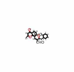 COc1ccccc1CC(=O)C(C=O)=Cc1cccc2c(=O)cc(C)oc12